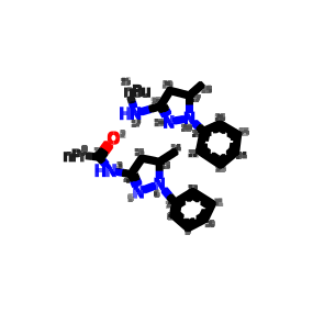 CCCC(=O)NC1=NN(c2ccccc2)C(C)C1.CCCCNC1=NN(c2ccccc2)C(C)C1